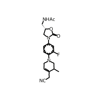 CC(=O)NC[C@H]1CN(c2ccc(N3CC=C(CC#N)C(C)C3)c(F)c2)C(=O)O1